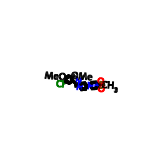 COc1cc(OC)c(-c2cn3ccc(N4CCN(S(C)(=O)=O)CC4)cc3n2)cc1Cl